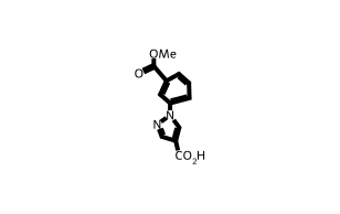 COC(=O)c1cccc(-n2cc(C(=O)O)cn2)c1